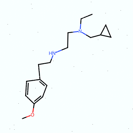 CCN(CCNCCc1ccc(OC)cc1)CC1CC1